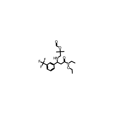 CCON(CC)C(=O)CC(NCC(C)(C)OC=O)c1cccc(C(F)(F)F)c1